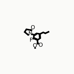 CCCc1cc(C(=O)OC)c(F)c(N2CCCC2=O)c1